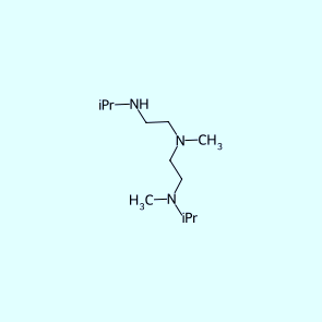 CC(C)NCCN(C)CCN(C)C(C)C